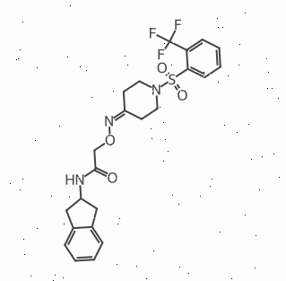 O=C(CON=C1CCN(S(=O)(=O)c2ccccc2C(F)(F)F)CC1)NC1Cc2ccccc2C1